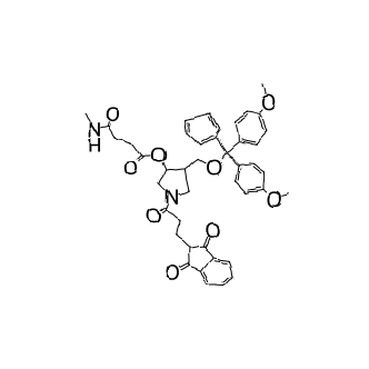 CNC(=O)CCC(=O)OC1CN(C(=O)CCC2C(=O)c3ccccc3C2=O)CC1COC(c1ccccc1)(c1ccc(OC)cc1)c1ccc(OC)cc1